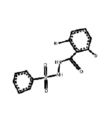 O=C(NNS(=O)(=O)c1ccccc1)c1c(Br)cccc1Br